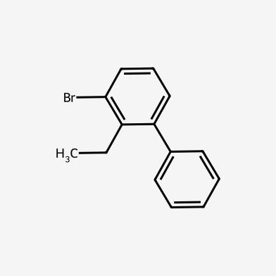 CCc1c(Br)cccc1-c1ccccc1